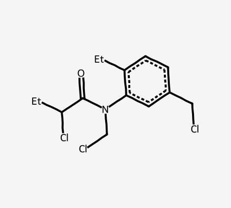 CCc1ccc(CCl)cc1N(CCl)C(=O)C(Cl)CC